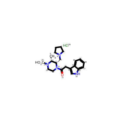 C[C@@H]1[C@H](CN2CCCC2)N(C(=O)Cc2c[nH]c3ccccc23)CCN1C(=O)O.Cl